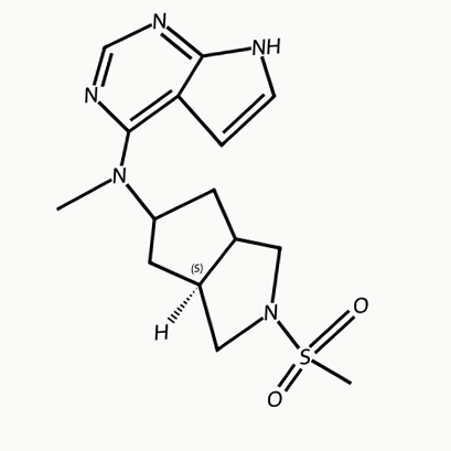 CN(c1ncnc2[nH]ccc12)C1CC2CN(S(C)(=O)=O)C[C@H]2C1